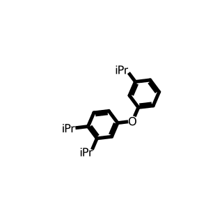 CC(C)c1cccc(Oc2ccc(C(C)C)c(C(C)C)c2)c1